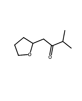 CC(C)C(=O)CC1CCCO1